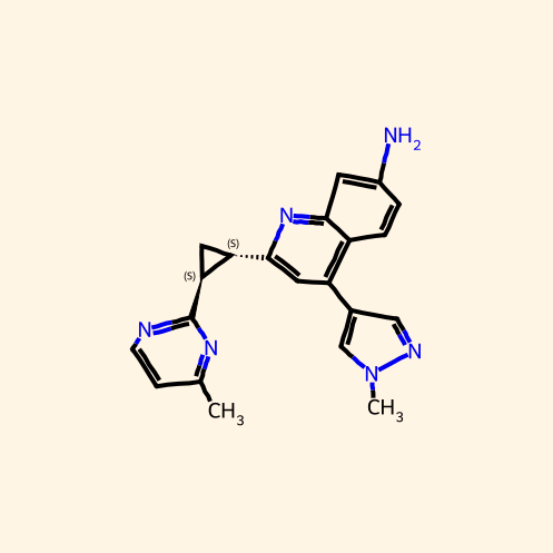 Cc1ccnc([C@H]2C[C@@H]2c2cc(-c3cnn(C)c3)c3ccc(N)cc3n2)n1